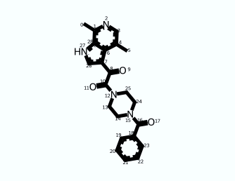 Cc1ncc(C)c2c(C(=O)C(=O)N3CCN(C(=O)c4ccccc4)CC3)c[nH]c12